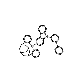 c1ccc(-c2cccc(-n3c4ccccc4c4cc(N5c6ccccc6C6CC7CC(C6)CC(C7)c6ccccc65)ccc43)c2)cc1